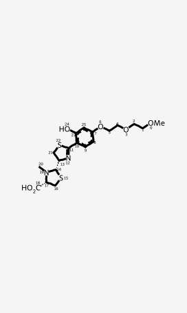 COCCOCCOc1ccc(C2=NC([C@@H]3SC[C@H](C(=O)O)N3C)CS2)c(O)c1